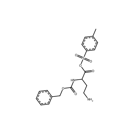 Cc1ccc(S(=O)(=O)OC(=O)C(CCN)NC(=O)OCc2ccccc2)cc1